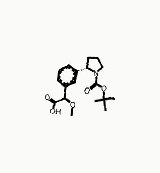 COC(C(=O)O)c1cccc([C@@H]2CCCN2C(=O)OC(C)(C)C)c1